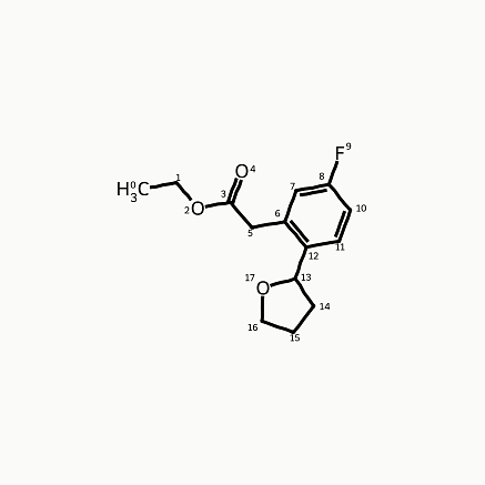 CCOC(=O)Cc1cc(F)ccc1C1CCCO1